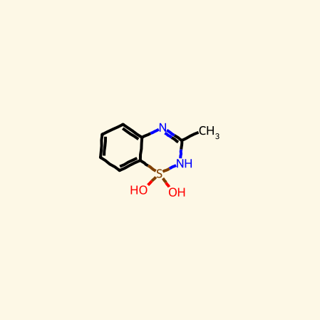 CC1=Nc2ccccc2S(O)(O)N1